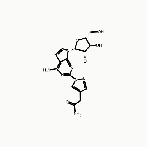 NC(=O)Cc1cnn(-c2nc(N)c3ncn([C@@H]4O[C@H](CO)[C@@H](O)[C@@H]4O)c3n2)c1